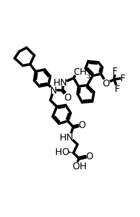 CC(NC(=O)N(Cc1ccc(C(=O)NC[C@@H](O)C(=O)O)cc1)c1ccc(C2CCCCC2)cc1)c1ccccc1-c1ccccc1OC(F)(F)F